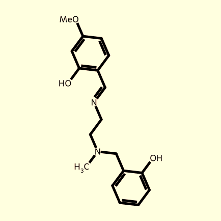 COc1ccc(C=NCCN(C)Cc2ccccc2O)c(O)c1